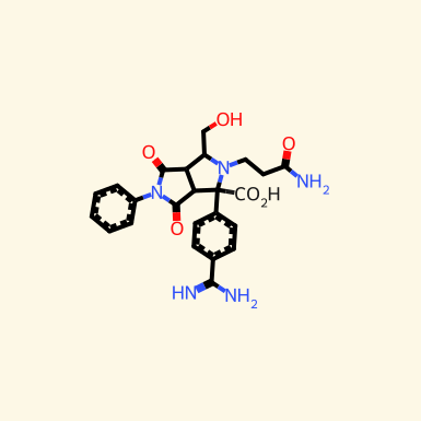 N=C(N)c1ccc(C2(C(=O)O)C3C(=O)N(c4ccccc4)C(=O)C3C(CO)N2CCC(N)=O)cc1